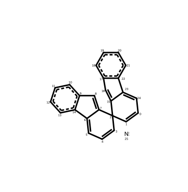 C1=CC2(C=CC=C3C2=Cc2ccccc23)C2=Cc3ccccc3C2=C1.[N]